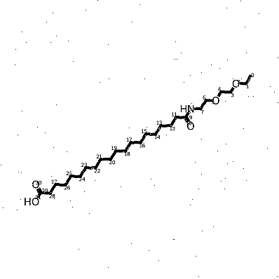 CCOCCOCCNC(=O)CCCCCCCCCCCCCCCCCCC(=O)O